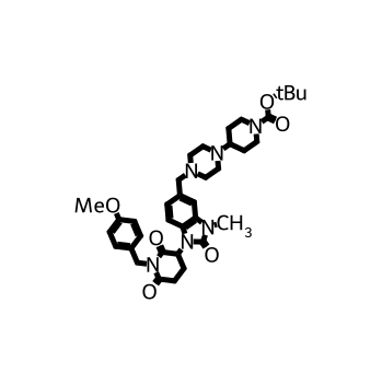 COc1ccc(CN2C(=O)CCC(n3c(=O)n(C)c4cc(CN5CCN(C6CCN(C(=O)OC(C)(C)C)CC6)CC5)ccc43)C2=O)cc1